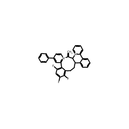 C=C1C2C(CCc3c(F)c(F)cc(F)c3-c3cc(-c4ccccc4)cc[n+]31)c1ccccc1-c1cccc[n+]12